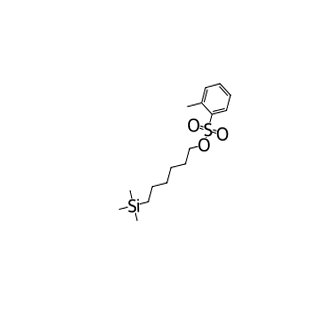 Cc1ccccc1S(=O)(=O)OCCCCCC[Si](C)(C)C